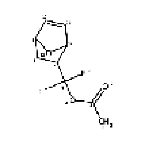 CC(=O)OC(F)(F)C1CC2C=CC1O2